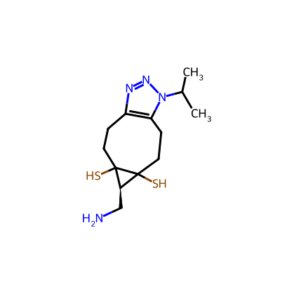 CC(C)n1nnc2c1CCC1(S)[C@@H](CN)C1(S)CC2